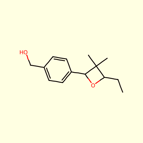 CCC1OC(c2ccc(CO)cc2)C1(C)C